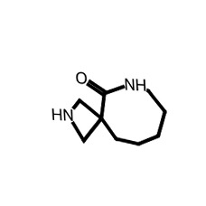 O=C1NCCCCCC12CNC2